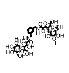 O=C(NCc1cccc(CNC(=O)[C@H](O)[C@@H](O)[C@H](O[C@@H]2O[C@H](CO)[C@H](O)[C@H](O)[C@H]2O)[C@H](O)CO)c1)[C@H](O)[C@@H](O)[C@H](O[C@@H]1O[C@H](CO)[C@H](O)[C@H](O)[C@H]1O)[C@H](O)CO